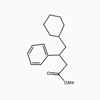 COC(=O)CC(CC1CCCCC1)c1ccccc1